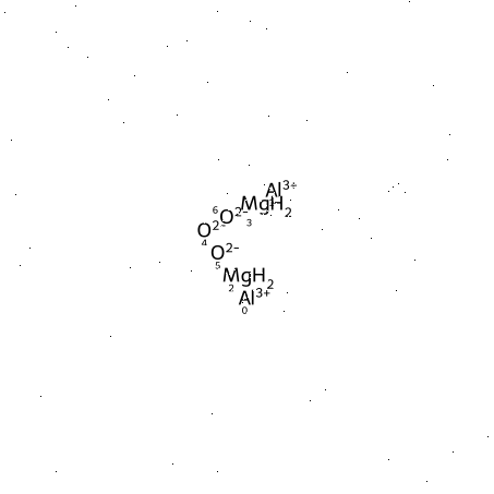 [Al+3].[Al+3].[MgH2].[MgH2].[O-2].[O-2].[O-2]